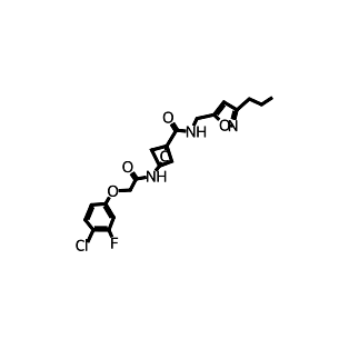 CCCc1cc(CNC(=O)C23CC(NC(=O)COc4ccc(Cl)c(F)c4)(C2)C3)on1